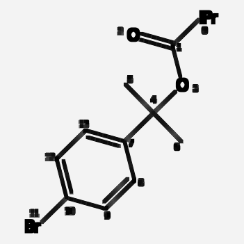 CC(C)C(=O)OC(C)(C)c1ccc(Br)cc1